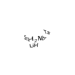 [LiH].[Nb].[SnH2].[Ta]